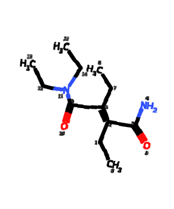 CCC(C(N)=O)=C(CC)C(=O)N(CC)CC